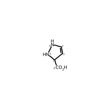 O=C(O)C1C=CNN1